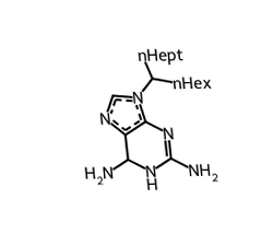 CCCCCCCC(CCCCCC)n1cnc2c1N=C(N)NC2N